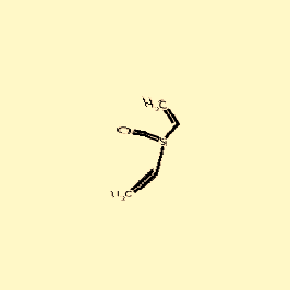 C=C[Si](=O)C=C